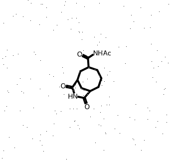 CC(=O)NC(=O)C1CCCC2CC(C1)C(=O)NC2=O